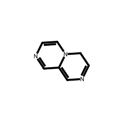 [C]1=NC=CN2CC=NC=C12